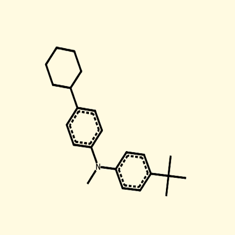 CN(c1ccc(C2CCCCC2)cc1)c1ccc(C(C)(C)C)cc1